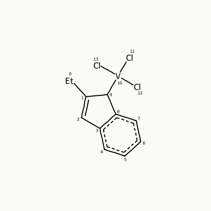 CCC1=Cc2ccccc2[CH]1[V]([Cl])([Cl])[Cl]